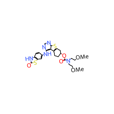 COCCN(CCOC)C(=O)OC1CCc2c(sc3ncnc(Nc4ccc5[nH]c(=O)sc5c4)c23)C1